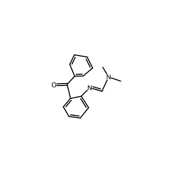 CN(C)C=Nc1ccccc1C(=O)c1ccccc1